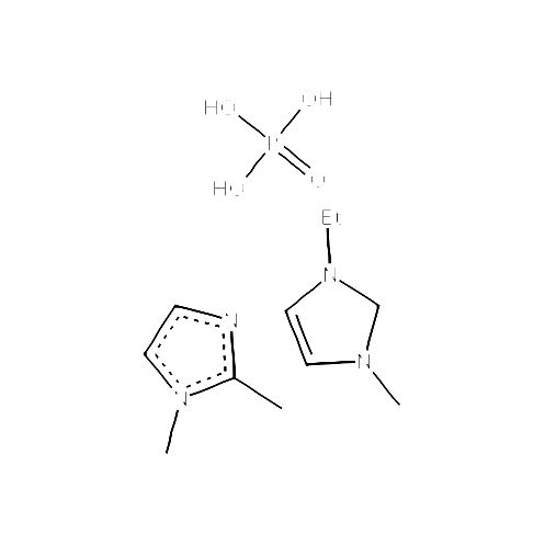 CCN1C=CN(C)C1.Cc1nccn1C.O=P(O)(O)O